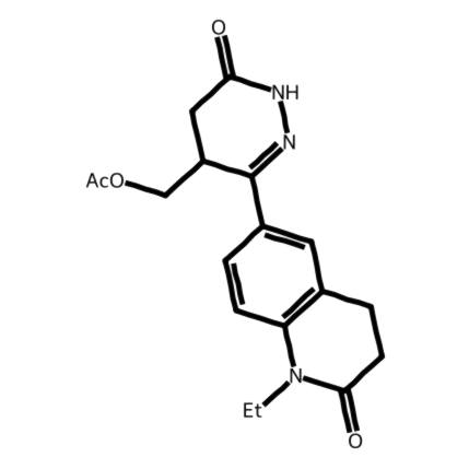 CCN1C(=O)CCc2cc(C3=NNC(=O)CC3COC(C)=O)ccc21